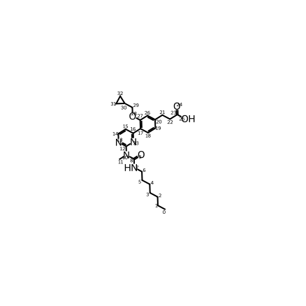 CCCCCCCNC(=O)N(C)c1nccc(-c2ccc(CCC(=O)O)cc2OCC2CC2)n1